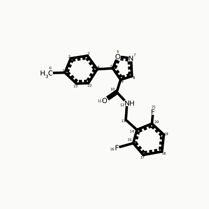 Cc1ccc(-c2oncc2C(=O)NCc2c(F)cccc2F)cc1